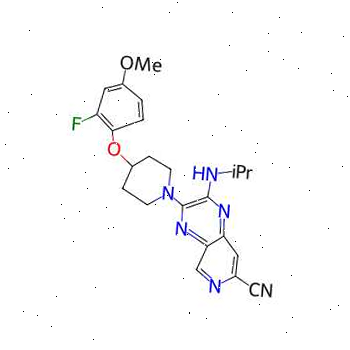 COc1ccc(OC2CCN(c3nc4cnc(C#N)cc4nc3NC(C)C)CC2)c(F)c1